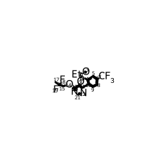 CCS(=O)(=O)c1cc(C(F)(F)F)ccc1-c1cc(OCC(C)(F)F)ncn1